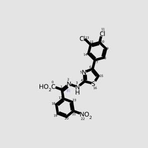 O=C(O)/C(=N/Nc1nc(-c2ccc(Cl)c(Cl)c2)cs1)c1cccc([N+](=O)[O-])c1